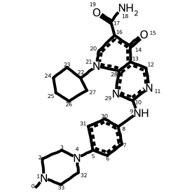 CN1CCN(c2ccc(Nc3ncc4c(=O)c(C(N)=O)cn(C5CCCCC5)c4n3)cc2)CC1